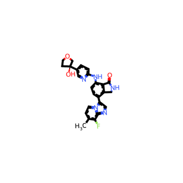 Cc1ccn2c(-c3ccc(Nc4ccc([C@]5(O)CCOC5)cn4)c4c3CNC4=O)cnc2c1F